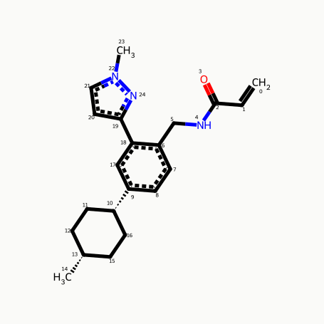 C=CC(=O)NCc1ccc([C@H]2CC[C@@H](C)CC2)cc1-c1ccn(C)n1